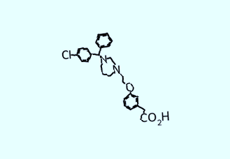 O=C(O)Cc1cccc(OCCN2CCCN(C(c3ccccc3)c3ccc(Cl)cc3)CC2)c1